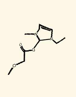 CCN1C=CN(C)C1OC(=O)COC